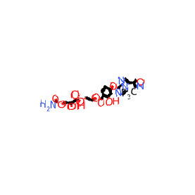 NC(=O)OC[C@H](O)C(=O)OCCOC(=O)c1ccc(Oc2nccn3c(-c4conc4C(F)(F)F)cnc23)cc1O